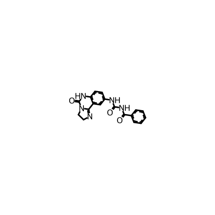 O=C(NC(=O)c1ccccc1)Nc1ccc2c(c1)C1=NCCN1C(=O)N2